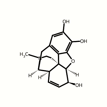 CN1CC[C@]23c4c5cc(O)c(O)c4O[C@H]2[C@@H](O)C=C[C@H]3[C@H]1C5